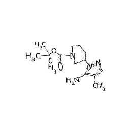 Cc1cnn(C2CCCN(C(=O)OC(C)(C)C)C2)c1N